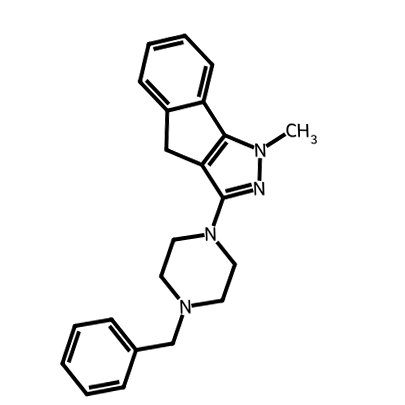 Cn1nc(N2CCN(Cc3ccccc3)CC2)c2c1-c1ccccc1C2